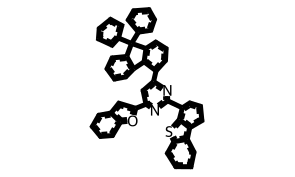 c1ccc(C2(c3ccccc3)c3ccccc3-c3c(-c4cc(-c5cc6ccccc6o5)nc(-c5cccc6c5sc5ccccc56)n4)cccc32)cc1